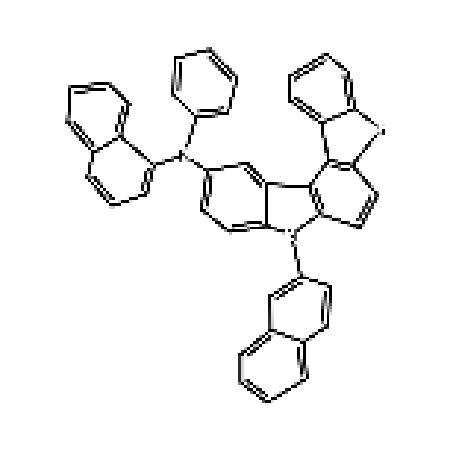 c1ccc(N(c2ccc3c(c2)c2c4c(ccc2n3-c2ccc3ccccc3c2)sc2ccccc24)c2cccc3ccccc23)cc1